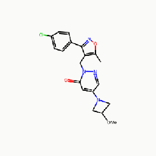 COC1CN(c2cnn(Cc3c(-c4ccc(Cl)cc4)noc3C)c(=O)c2)C1